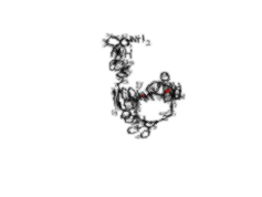 COc1cc2cc(c1Cl)N(C)C(=O)C[C@H](OC(=O)[C@H](C)N(C)C(=O)CCSSC(C)(C)CC(=O)N/N=C1/CCCCc3cc(N)ccc31)C(C)(O)C[C@H](C)[C@@H]1C[C@@](O)(NC(=O)O1)[C@H](OC)/C=C/C=C(\C)C2